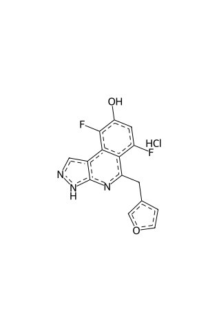 Cl.Oc1cc(F)c2c(Cc3ccoc3)nc3[nH]ncc3c2c1F